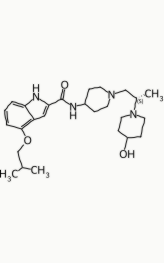 CC(C)COc1cccc2[nH]c(C(=O)NC3CCN(C[C@H](C)N4CCC(O)CC4)CC3)cc12